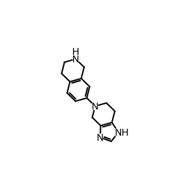 c1nc2c([nH]1)CCN(c1ccc3c(c1)CNCC3)C2